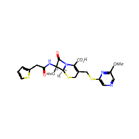 COc1cncc(SCC2=C(C(=O)O)N3C(=O)[C@](NC(=O)Cc4cccs4)(OC)[C@@H]3SC2)n1